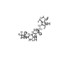 Cc1[nH]c2c(F)ccc(C)c2c1CCNC(=O)c1cc2cc(NC(=O)C(C)(C)C)ccc2[nH]1